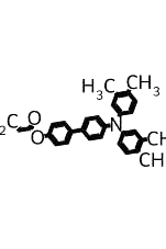 C=CC(=O)Oc1ccc(-c2ccc(N(c3ccc(C)c(C)c3)c3ccc(C)c(C)c3)cc2)cc1